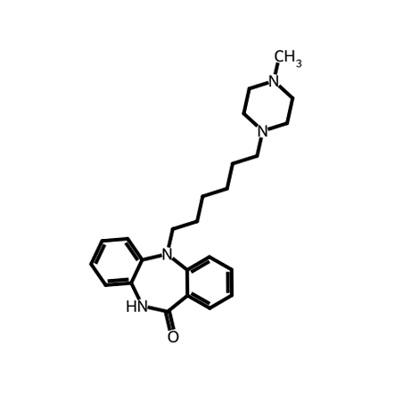 CN1CCN(CCCCCCN2c3ccccc3NC(=O)c3ccccc32)CC1